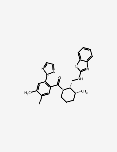 Cc1cc(-n2nccn2)c(C(=O)N2CCC[C@@H](C)[C@H]2CNc2nc3ccccc3o2)cc1F